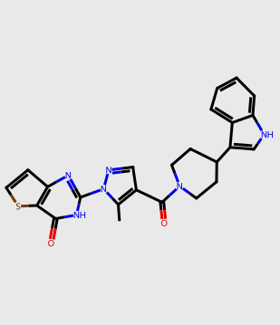 Cc1c(C(=O)N2CCC(c3c[nH]c4ccccc34)CC2)cnn1-c1nc2ccsc2c(=O)[nH]1